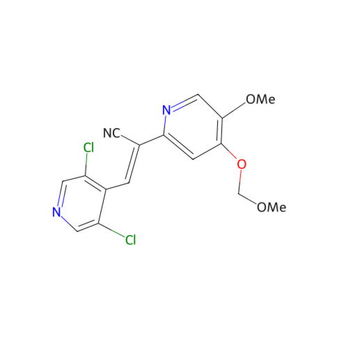 COCOc1cc(C(C#N)=Cc2c(Cl)cncc2Cl)ncc1OC